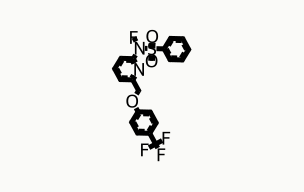 O=S(=O)(c1ccccc1)N(F)c1cccc(COc2ccc(C(F)(F)F)cc2)n1